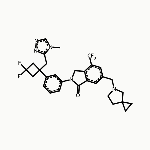 Cn1cnnc1CC1(c2cccc(N3Cc4c(cc(CN5CCC6(CC6)C5)cc4C(F)(F)F)C3=O)c2)CC(F)(F)C1